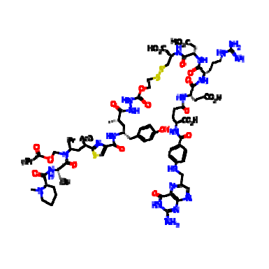 CCCC(=O)OCN(C(=O)[C@@H](NC(=O)[C@H]1CCCCN1C)C(C)CC)[C@H](C[C@@H](OC(C)=O)c1nc(C(=O)N[C@@H](Cc2ccc(O)cc2)C[C@H](C)C(=O)NNC(=O)OCCSSC[C@H](NC(=O)[C@H](CC(=O)O)NC(=O)[C@H](CCCNC(=N)N)NC(=O)[C@H](CC(=O)O)NC(=O)CC[C@H](NC(=O)c2ccc(NCc3cnc4nc(N)[nH]c(=O)c4n3)cc2)C(=O)O)C(=O)O)cs1)C(C)C